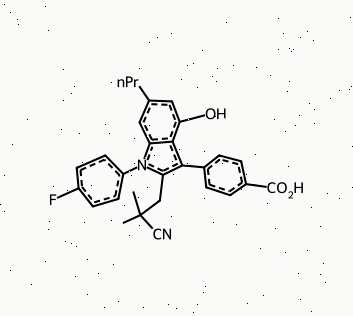 CCCc1cc(O)c2c(-c3ccc(C(=O)O)cc3)c(CC(C)(C)C#N)n(-c3ccc(F)cc3)c2c1